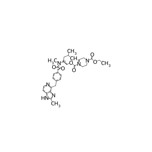 CCOC(=O)N1CCN(C(=O)OC[C@H](CC(C)C)N(C)S(=O)(=O)c2ccc(Cc3nccc4[nH]c(C)nc34)cc2)CC1